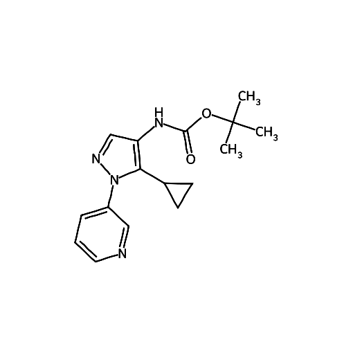 CC(C)(C)OC(=O)Nc1cnn(-c2cccnc2)c1C1CC1